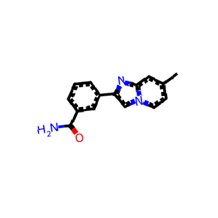 Cc1ccn2cc(-c3cccc(C(N)=O)c3)nc2c1